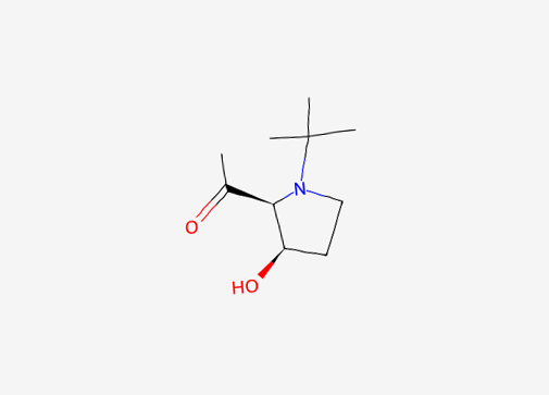 CC(=O)[C@@H]1[C@H](O)CCN1C(C)(C)C